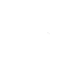 C=C(CC/C(F)=C(\C)F)C1CC1